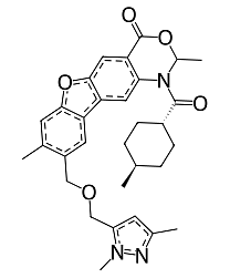 Cc1cc(COCc2cc3c(cc2C)oc2cc4c(cc23)N(C(=O)[C@H]2CC[C@H](C)CC2)C(C)OC4=O)n(C)n1